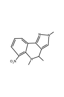 CC1c2cn(C)nc2-c2cccc([N+](=O)[O-])c2N1C